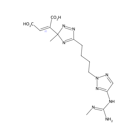 CN=C(N)Nc1cnn(CCCCC2=NC(C)(/C(=C/C(=O)O)C(=O)O)N=N2)n1